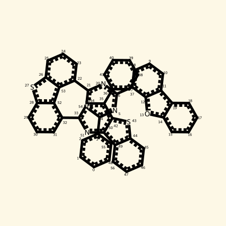 c1ccc(-c2nc(-c3cccc4c3oc3ccccc34)nc(-c3cccc4sc5cccc(-c6nc(-c7ccccc7)c7sc8ccccc8c7n6)c5c34)n2)cc1